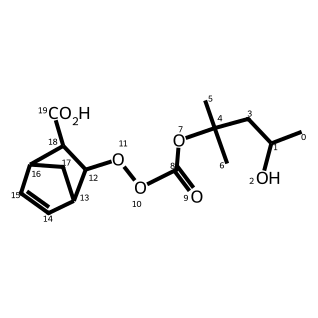 CC(O)CC(C)(C)OC(=O)OOC1C2C=CC(C2)C1C(=O)O